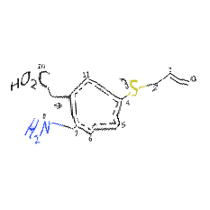 C=CCSc1ccc(N)c(C(=O)O)c1